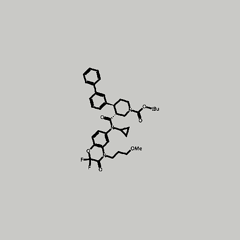 COCCCN1C(=O)C(F)(F)Oc2ccc(N(C(=O)[C@H]3CN(C(=O)OC(C)(C)C)CC[C@@H]3c3cccc(-c4ccccc4)c3)C3CC3)cc21